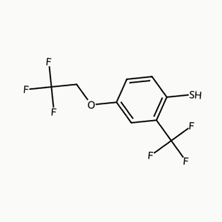 FC(F)(F)COc1ccc(S)c(C(F)(F)F)c1